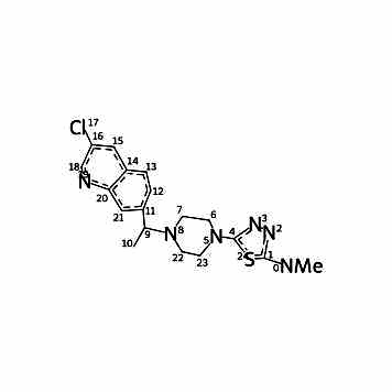 CNc1nnc(N2CCN(C(C)c3ccc4cc(Cl)cnc4c3)CC2)s1